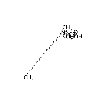 CCCCCCCCCCCCCCCCCCCCCC[N+](C)(CC)CC(O)CS(=O)(=O)O